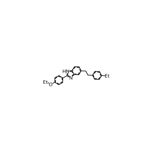 CCOc1ccc(-c2nc3cc(CCc4ccc(CC)cc4)ccc3[nH]2)cc1